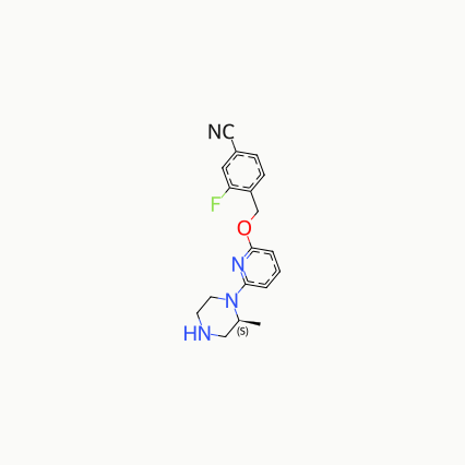 C[C@H]1CNCCN1c1cccc(OCc2ccc(C#N)cc2F)n1